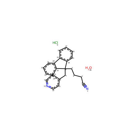 Cl.N#CCCCC1(Cc2ccncc2)c2ccccc2-c2ccccc21.O